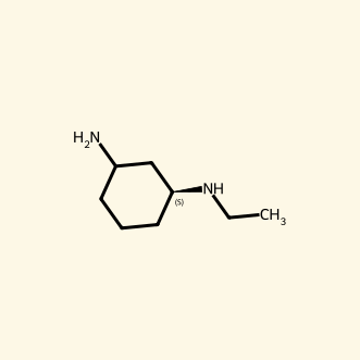 CCN[C@H]1CCCC(N)C1